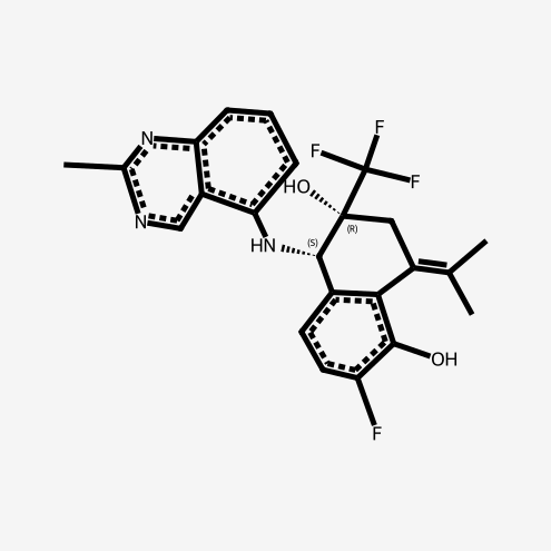 CC(C)=C1C[C@](O)(C(F)(F)F)[C@@H](Nc2cccc3nc(C)ncc23)c2ccc(F)c(O)c21